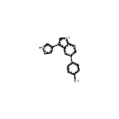 Oc1ccc(-c2cnc3[nH]cc(-c4cn[nH]c4)c3c2)cc1